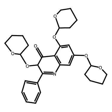 O=C1c2c(cc(OC3CCCCO3)cc2OC2CCCCO2)N=C(c2ccccc2)C1OC1CCCCO1